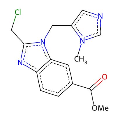 COC(=O)c1ccc2nc(CCl)n(Cc3cncn3C)c2c1